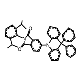 CC(C)c1cccc(C(C)C)c1N1C(=O)c2ccc(N3c4ccccc4C(c4ccccc4)(c4ccccc4)c4ccccc43)cc2C1=O